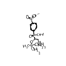 CCC(O[Si](C)(C)C)P(=O)(O)c1ccc([N+](=O)[O-])cc1